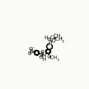 COc1cc2c(cc1NS(=O)(=O)c1ccc([N+](=O)[O-])cc1)CCN(C(=O)OC(C)(C)C)CC2